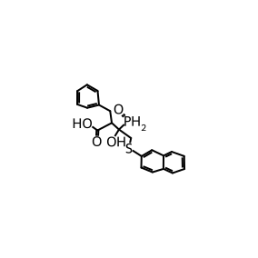 O=[PH2]C(O)(CSc1ccc2ccccc2c1)C(Cc1ccccc1)C(=O)O